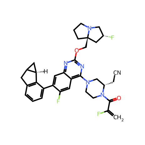 C=C(F)C(=O)N1CCN(c2nc(OC[C@@]34CCCN3C[C@H](F)C4)nc3cc(-c4cccc5c4[C@@H]4CC4C5)c(F)cc23)C[C@@H]1CC#N